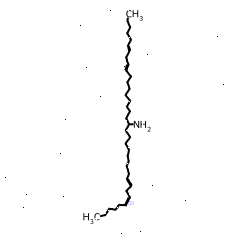 CCCCCC=CCC=CCCCCCCCCC(N)CCCCCCCCC=CC/C=C\CCCCC